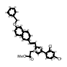 COC(=O)Cn1cc(-c2ccc(Cl)cc2Cl)nc1/C=C/c1ccc2cc(OCc3ccccc3)ccc2c1